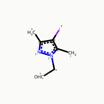 Cc1nn(CC=O)c(C)c1I